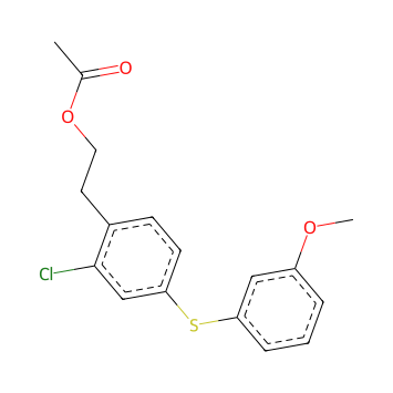 COc1cccc(Sc2ccc(CCOC(C)=O)c(Cl)c2)c1